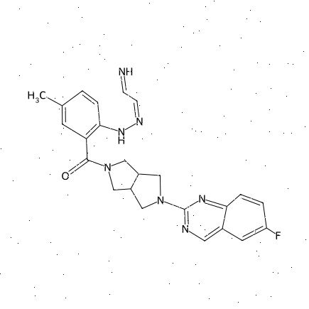 Cc1ccc(N/N=C\C=N)c(C(=O)N2CC3CN(c4ncc5cc(F)ccc5n4)CC3C2)c1